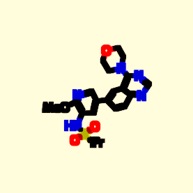 COc1ncc(-c2ccc3ncnc(N4CCOCC4)c3c2)cc1NS(=O)(=O)C(C)C